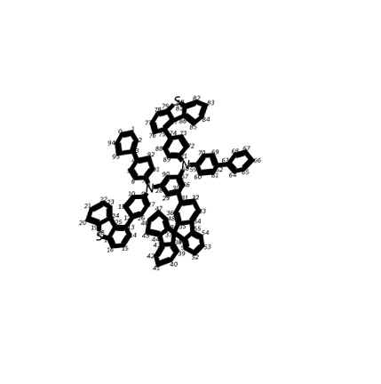 c1ccc(-c2ccc(N(c3ccc(-c4cccc5sc6ccccc6c45)cc3)c3cc(-c4ccc5c(c4)C4(c6ccccc6-c6ccccc64)c4ccccc4-5)cc(N(c4ccc(-c5ccccc5)cc4)c4ccc(-c5cccc6sc7ccccc7c56)cc4)c3)cc2)cc1